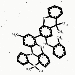 Cc1cc(-c2cc3c(cc2Nc2ccccc2C)C(C)(C)c2ccccc2O3)c2c(c1)N1c3ccccc3[Si](C)(C)c3cccc(c31)B2